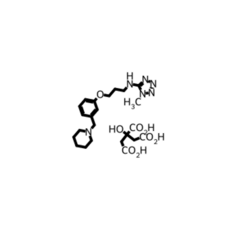 Cn1nnnc1NCCCOc1cccc(CN2CCCCC2)c1.O=C(O)CC(O)(CC(=O)O)C(=O)O